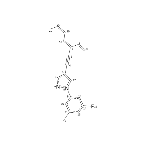 C=C/C(C#Cc1cnn(-c2cc(C)cc(F)c2)c1)=C\C=C/C